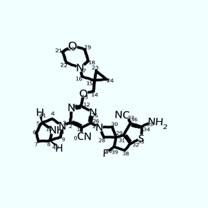 N#Cc1c(N2C[C@H]3CC[C@@H](C2)N3)nc(OCC2(CN3CCOCC3)CC2)nc1N1CC2(C1)c1c(sc(N)c1C#N)CC2F